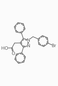 O=C(O)Cc1c(-c2ccccc2)nn(Cc2ccc(Br)cc2)c1-c1ccccc1